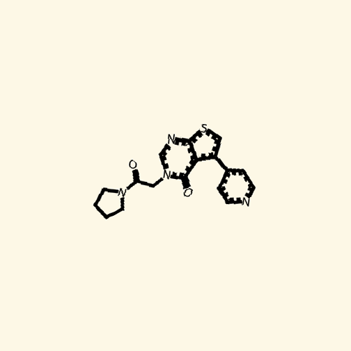 O=C(Cn1cnc2scc(-c3ccncc3)c2c1=O)N1CCCC1